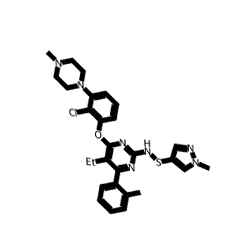 CCc1c(Oc2cccc(N3CCN(C)CC3)c2Cl)nc(NSc2cnn(C)c2)nc1-c1ccccc1C